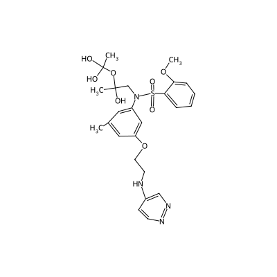 COc1ccccc1S(=O)(=O)N(CC(C)(O)OC(C)(O)O)c1cc(C)cc(OCCNc2ccnnc2)c1